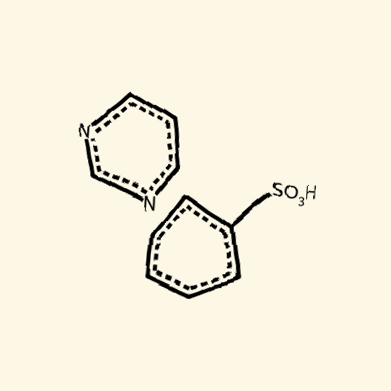 O=S(=O)(O)c1ccccc1.c1cncnc1